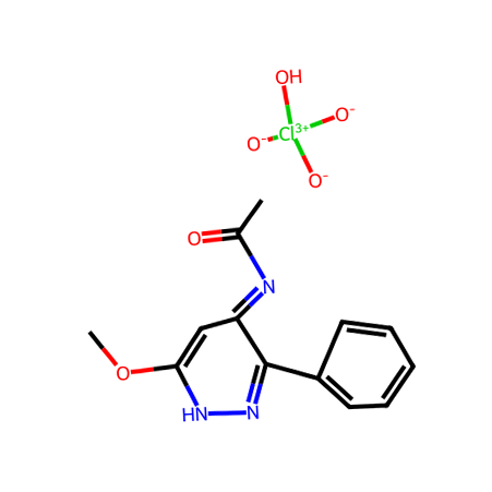 COc1cc(=NC(C)=O)c(-c2ccccc2)n[nH]1.[O-][Cl+3]([O-])([O-])O